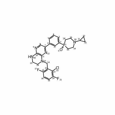 O=P1(c2cccc(-c3cnc4c(n3)N(Cc3c(F)ccc(F)c3Cl)CCN4)c2)CCN(C2CC2)CC1